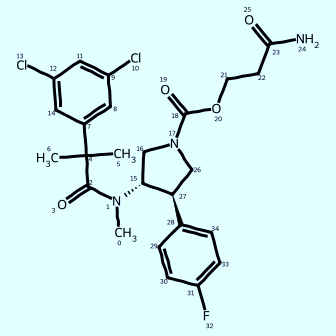 CN(C(=O)C(C)(C)c1cc(Cl)cc(Cl)c1)[C@@H]1CN(C(=O)OCCC(N)=O)C[C@H]1c1ccc(F)cc1